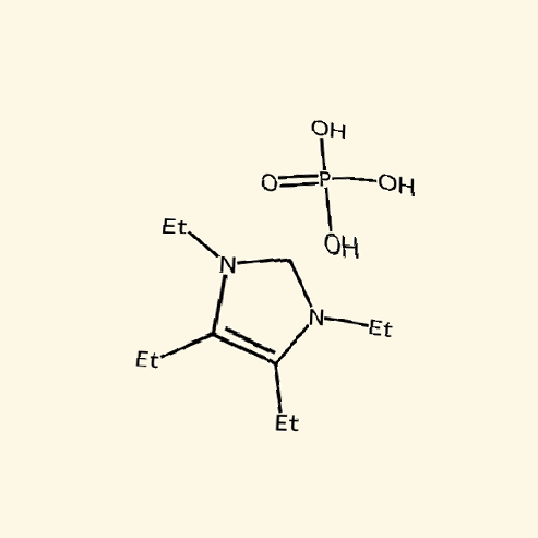 CCC1=C(CC)N(CC)CN1CC.O=P(O)(O)O